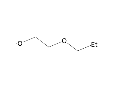 [CH2]CCOCC[O]